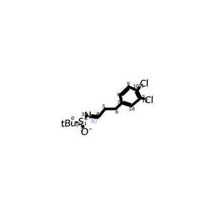 CC(C)(C)[S@+]([O-])/N=C/CCc1ccc(Cl)c(Cl)c1